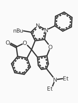 CCCCc1nn(-c2ccccc2)c2c1C1(OC(=O)c3ccccc31)c1ccc(N(CC)CC)cc1O2